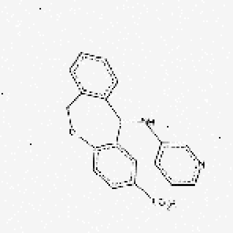 O=C(O)c1ccc2c(c1)C(Nc1cccnc1)c1ccccc1CO2